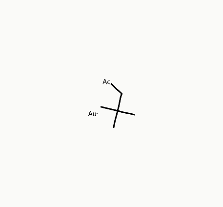 CC(=O)CC(C)(C)C.[Au]